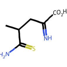 CC(CC(=N)C(=O)O)C(N)=S